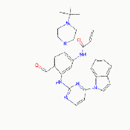 C=CC(=O)Nc1cc(Nc2nccc(-n3ccc4ccccc43)n2)c(C=O)cc1N1CCN(C(C)(C)C)CC1